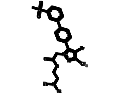 CCN(CC)CCOC(=O)Cn1nc(C(F)(F)F)c(Br)c1-c1ccc(-c2cccc(S(C)(=O)=O)c2)cc1